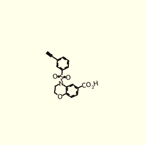 C#Cc1cccc(S(=O)(=O)N2CCOc3ccc(C(=O)O)cc32)c1